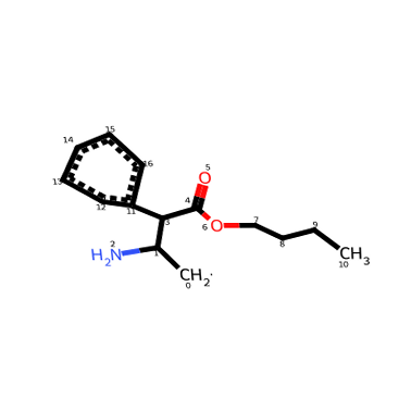 [CH2]C(N)C(C(=O)OCCCC)c1ccccc1